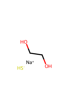 OCCO.[Na+].[SH-]